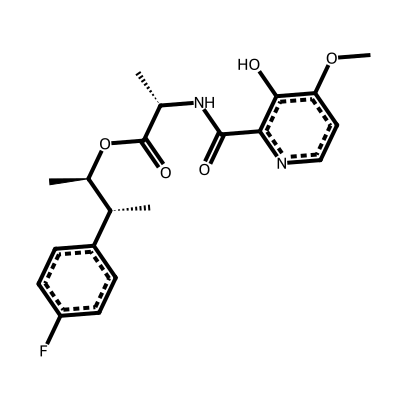 COc1ccnc(C(=O)N[C@@H](C)C(=O)O[C@H](C)[C@H](C)c2ccc(F)cc2)c1O